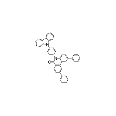 O=c1c2ccc(-c3ccccc3)cc2c2cc(-c3ccccc3)ccc2n1-c1ccc(-n2c3ccccc3c3ccccc32)cc1